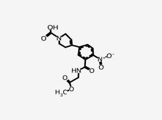 COC(=O)CNC(=O)c1cc(C2=CCN(C(=O)O)CC2)ccc1[N+](=O)[O-]